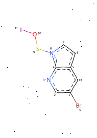 Brc1cnc2c(ccn2SOI)c1